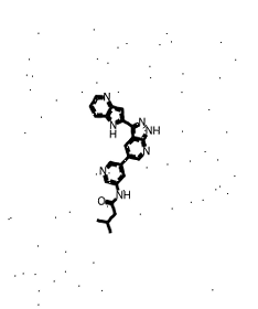 CC(C)CC(=O)Nc1cncc(-c2cnc3[nH]nc(-c4cc5ncccc5[nH]4)c3c2)c1